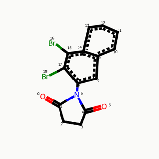 O=C1CCC(=O)N1c1cc2ccccc2c(Br)c1Br